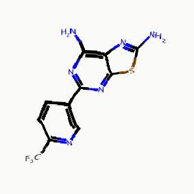 Nc1nc2c(N)nc(-c3ccc(C(F)(F)F)nc3)nc2s1